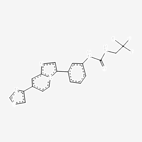 O=C(NCC(F)(F)F)Nc1cccc(-c2cnc3cc(-c4cscn4)ccn23)c1